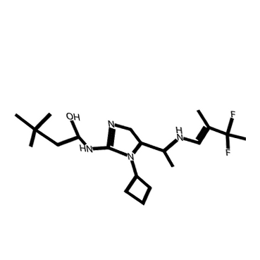 C/C(=C\NC(C)C1CN=C(NC(O)CC(C)(C)C)N1C1CCC1)C(F)(F)F